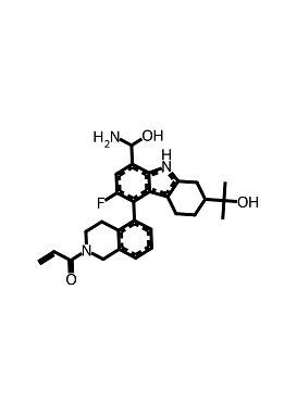 C=CC(=O)N1CCc2c(cccc2-c2c(F)cc(C(N)O)c3[nH]c4c(c23)CCC(C(C)(C)O)C4)C1